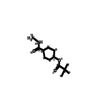 CC(C)(C)C(=O)ON1CCC(C(=O)NN)CC1